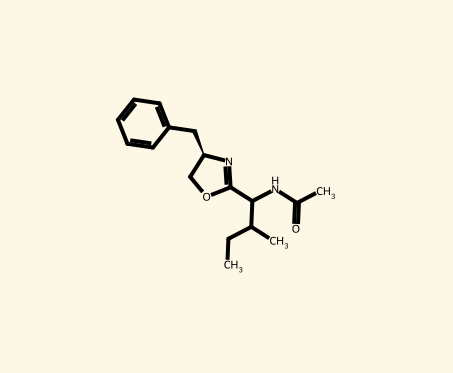 CCC(C)C(NC(C)=O)C1=N[C@H](Cc2ccccc2)CO1